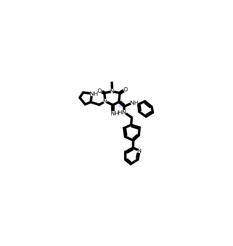 CN1C(=O)/C(=C(/NCc2ccc(-c3ccccn3)cc2)Nc2ccccc2)C(=N)N(CC2CCCN2)C1=O